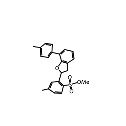 COS(=O)(=O)c1ccc(C)cc1C1Cc2cccc(-c3ccc(C)cc3)c2O1